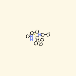 c1ccc(-c2ccc(N(c3ccc4c(c3)C(c3ccccc3)(c3ccccc3)c3ccccc3-4)c3cccc4c3sc3c4ccc4c5ccccc5[nH]c43)cc2)cc1